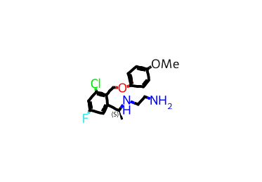 COc1ccc(OCc2c(Cl)cc(F)cc2[C@H](C)NCCN)cc1